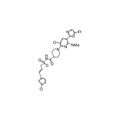 CCc1cnc(-c2cc(Cl)c(N3CCC(C(=O)NS(=O)(=O)CC=Cc4ccc(Cl)s4)CC3)nc2NC)o1